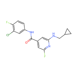 O=C(Nc1ccc(F)c(Cl)c1)c1cc(F)nc(NCC2CC2)c1